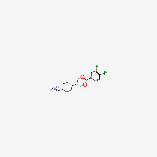 C/C=C/[C@H]1CC[C@H]([C@H]2CO[C@H](c3ccc(F)c(F)c3)OC2)CC1